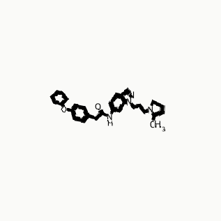 CC1CCCN1CCCn1ncc2ccc(NC(=O)Cc3ccc(Oc4ccccc4)cc3)cc21